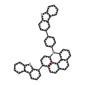 c1ccc2c(c1)ccc1cccc(N(c3ccc(-c4ccc5sc6ccccc6c5c4)cc3)c3ccc(-c4cccc5c4sc4ccccc45)cc3)c12